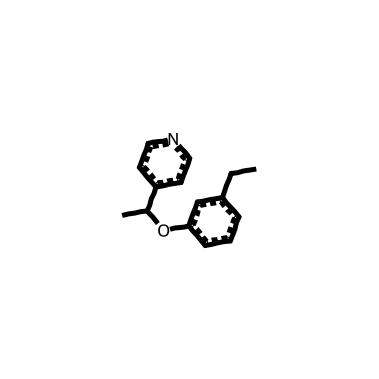 CCc1cccc(OC(C)c2ccncc2)c1